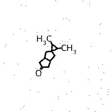 CC1C(C)C12CC1CC(=O)CC1C2